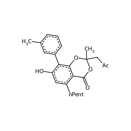 CCCCCc1cc(O)c(-c2cccc(C)c2)c2c1C(=O)OC(C)(CC(C)=O)O2